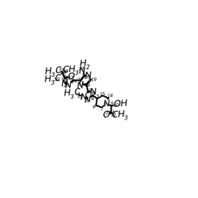 CCn1nc(C2CCN(C(O)C(C)=O)CC2)nc1-c1cnc(N)c(-c2nnc(C(C)(C)C)o2)n1